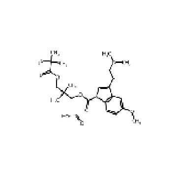 COc1ccc2c(c1)c(CCN(C)C)cn2C(=O)OCC(C)(C)COC(=O)C(C)(C)C.O=CO